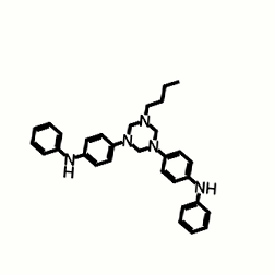 CCCCN1CN(c2ccc(Nc3ccccc3)cc2)CN(c2ccc(Nc3ccccc3)cc2)C1